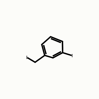 ICc1cccc(I)c1